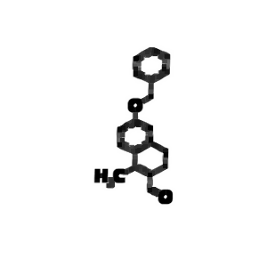 CC1=C(C=O)CCc2cc(OCc3ccccc3)ccc21